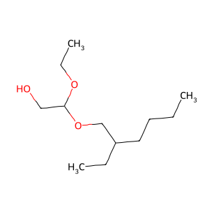 CCCCC(CC)COC(CO)OCC